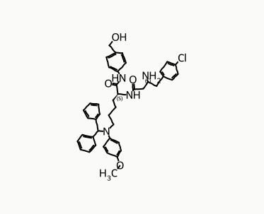 COc1ccc(N(CCCC[C@H](NC(=O)C[C@@H](N)Cc2ccc(Cl)cc2)C(=O)Nc2ccc(CO)cc2)C(c2ccccc2)c2ccccc2)cc1